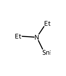 CC[N]([Sn])CC